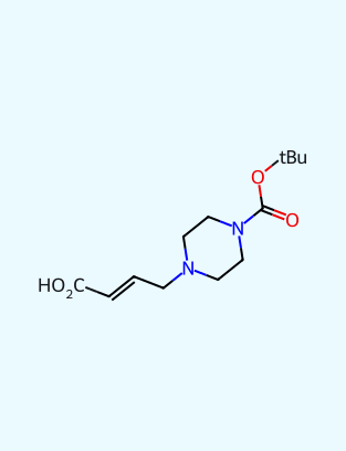 CC(C)(C)OC(=O)N1CCN(CC=CC(=O)O)CC1